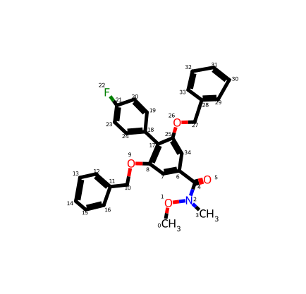 CON(C)C(=O)c1cc(OCc2ccccc2)c(-c2ccc(F)cc2)c(OCc2ccccc2)c1